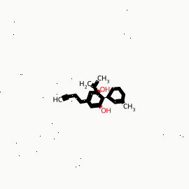 C#CCCC1=CC(O)(C(=C)C)[C@H](C2C=C(C)CCC2)C(O)=C1